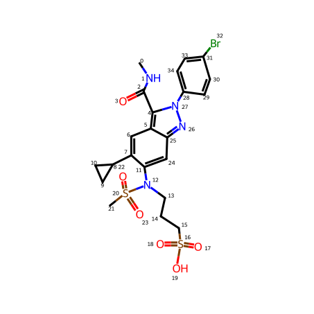 CNC(=O)c1c2cc(C3CC3)c(N(CCCS(=O)(=O)O)S(C)(=O)=O)cc2nn1-c1ccc(Br)cc1